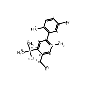 Cc1ccc(C(C)C)cc1-c1cc([Si](C)(C)C)c(CC(C)C)c[n+]1C